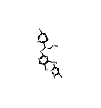 COC[C@@H](Oc1ncc(Cl)c(Nc2cc(C)[nH]n2)n1)c1ccc(F)cn1